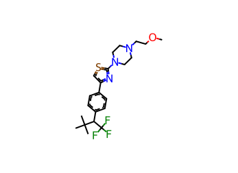 COCCN1CCN(c2nc(-c3ccc(C(C(C)(C)C)C(F)(F)F)cc3)cs2)CC1